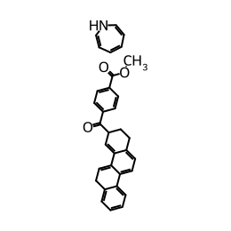 C1=CC=CNC=C1.COC(=O)c1ccc(C(=O)C2C=c3c(ccc4c3=CCc3ccccc3-4)CC2)cc1